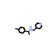 [CH2]c1ccc(C(C)NCc2ccncc2)cc1